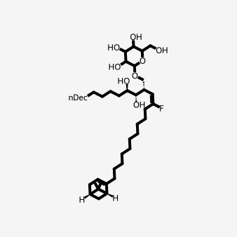 CCCCCCCCCCCCCC[C@@H](O)[C@@H](O)[C@@H](/C=C(/F)CCCCCCCCCCC1=CC[C@H]2C[C@@H]1C2(C)C)COC1OC(CO)C(O)C(O)C1O